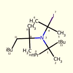 CCCC(C)(N(C(C)(C)I)C(C)(C)CC(C)CC)C(C)(C)C